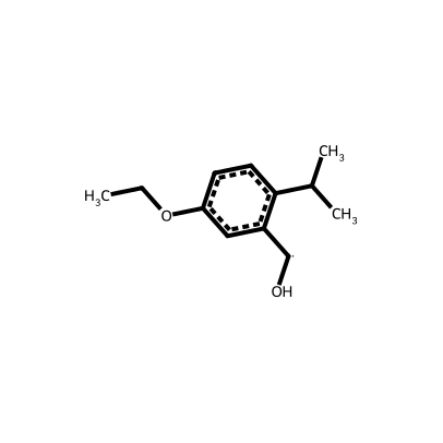 CCOc1ccc(C(C)C)c([CH]O)c1